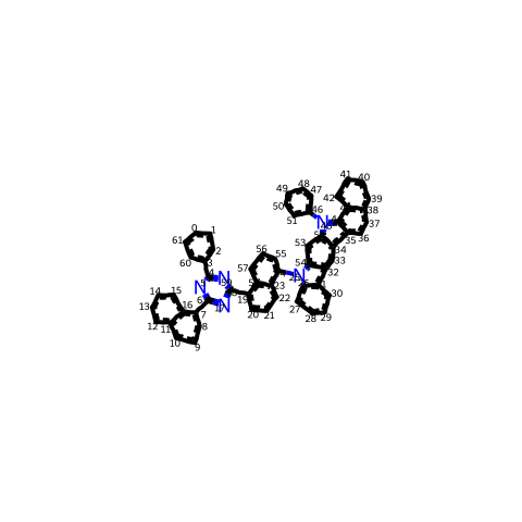 c1ccc(-c2nc(-c3cccc4ccccc34)nc(-c3cccc4c(-n5c6ccccc6c6cc7c8ccc9ccccc9c8n(-c8ccccc8)c7cc65)cccc34)n2)cc1